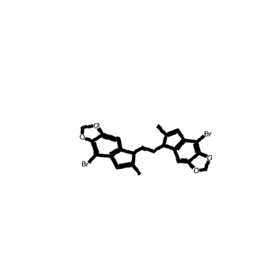 CC1=Cc2c(cc3c(c2Br)OCO3)C1CCC1C(C)=Cc2c1cc1c(c2Br)OCO1